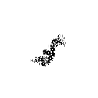 COC(=O)N[C@H](C(=O)N1CCC[C@H]1C(=O)Nc1ccc(-c2ccc(C3=CCC(c4cnc([C@@H]5CCCN5C(=O)[C@@H](NC(=O)OC)C(C)C)[nH]4)C=C3)n2-c2ccc(S(C)(F)(F)(F)F)cc2)cc1)C(C)C